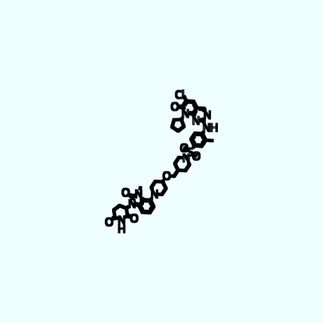 Cc1cc(S(=O)(=O)N2CCC(COC3CCN(c4cccc5c4n(C)c(=O)n5C4CCC(=O)NC4=O)CC3)CC2)ccc1Nc1ncc2cc(Cl)c(=O)n(C3CCCC3)c2n1